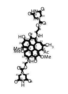 COc1c2c3c4c(c(NCCOC(=O)N5CC(=O)NC(=O)C5)c(=O)c5c(O)cc(OC)c(c6c(OC)cc(NCOC(=O)N7CC(=O)NC(=O)C7)c(c1=O)c63)c54)C=C(C)C2C(C)=O